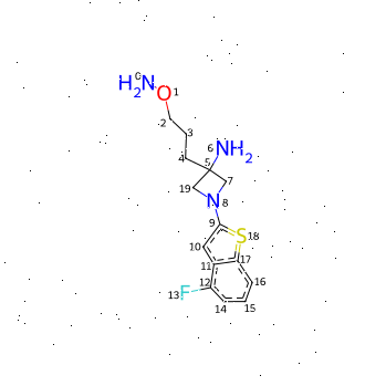 NOCCCC1(N)CN(c2cc3c(F)cccc3s2)C1